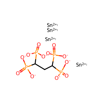 O=P([O-])([O-])C(CC(P(=O)([O-])[O-])P(=O)([O-])[O-])P(=O)([O-])[O-].[Sn+2].[Sn+2].[Sn+2].[Sn+2]